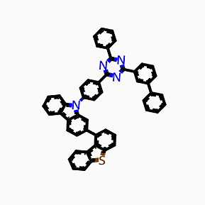 c1ccc(-c2cccc(-c3nc(-c4ccccc4)nc(-c4ccc(-n5c6ccccc6c6ccc(-c7cccc8sc9ccccc9c78)cc65)cc4)n3)c2)cc1